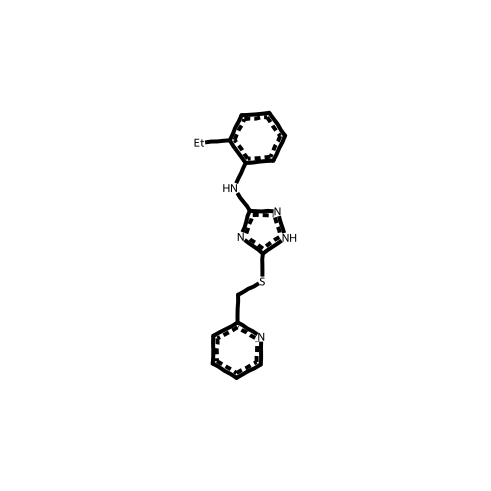 CCc1ccccc1Nc1n[nH]c(SCc2ccccn2)n1